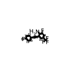 Nc1c(F)cc(C(F)(F)F)cc1C#Cc1ccc(F)cc1